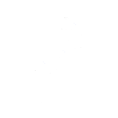 CON(C)C(=O)c1cccc(CNC(=O)Cc2nc3ccc(-c4ccccc4)cc3s2)c1